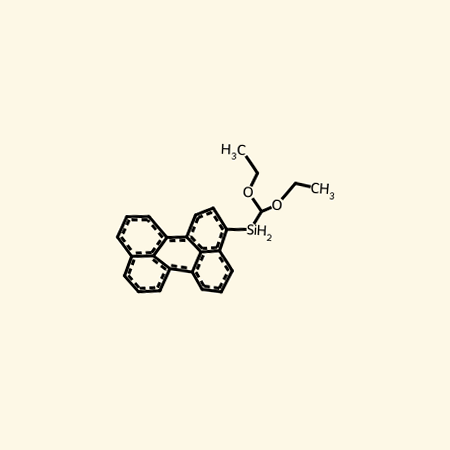 CCOC(OCC)[SiH2]c1ccc2c3cccc4cccc(c5cccc1c52)c43